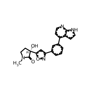 CN1CC[C@@](O)(c2cc(-c3cccc(-c4ccnc5[nH]ccc45)c3)no2)C1=O